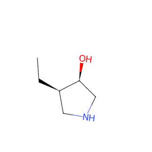 CC[C@@H]1CNC[C@@H]1O